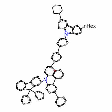 CCCCCCc1ccc2c(c1)c1cc(C3CCCCC3)ccc1n2-c1ccc(-c2ccc(-c3ccc(N(c4ccc5c(c4)C(c4ccccc4)(c4ccccc4)c4ccccc4-5)c4ccc(-c5ccccc5)cc4-c4ccccc4)cc3)cc2)cc1